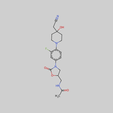 CC(=O)NCC1CN(c2ccc(N3CCC(O)(CC#N)CC3)c(F)c2)C(=O)O1